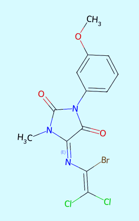 COc1cccc(N2C(=O)/C(=N\C(Br)=C(Cl)Cl)N(C)C2=O)c1